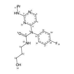 CC(C)Nc1nccc(N(C(=O)NCCCO)c2ccc(F)cc2)n1